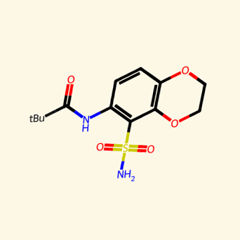 CC(C)(C)C(=O)Nc1ccc2c(c1S(N)(=O)=O)OCCO2